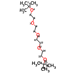 CC(C)(C)OCCOCCOCCOCCOC(C)(C)C